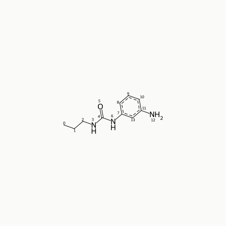 CCCNC(=O)Nc1cccc(N)c1